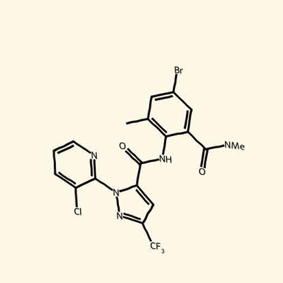 CNC(=O)c1cc(Br)cc(C)c1NC(=O)c1cc(C(F)(F)F)nn1-c1ncccc1Cl